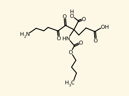 CCCCOC(=O)NC(CCC(=O)O)(C(=O)O)C(=O)C(=O)CCCN